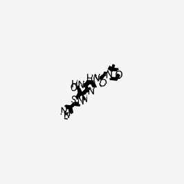 Cn1cc(-c2cn3nc4c5ncc(NC(=O)CN6CCOCC6(C)C)cc5[nH]c(=O)c4c3s2)cn1